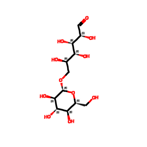 O=C[C@H](O)[C@@H](O)[C@H](O)[C@H](O)CO[C@@H]1O[C@H](CO)[C@@H](O)[C@H](O)[C@H]1O